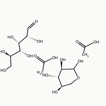 CC(=O)O.CC(=O)O.O=C[C@H](O)[C@@H](O)[C@H](O)[C@H](O)CO.OC1OC[C@@H](O)[C@H](O)[C@H]1O